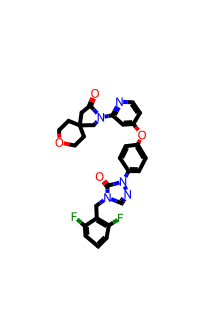 O=C1CC2(CCOCC2)CN1c1cc(Oc2ccc(-n3ncn(Cc4c(F)cccc4F)c3=O)cc2)ccn1